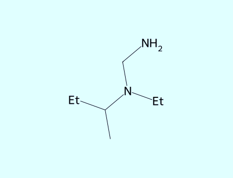 CCC(C)N(CC)CN